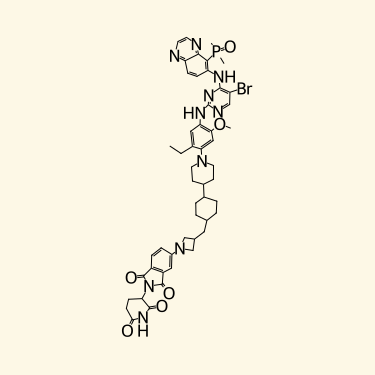 CCc1cc(Nc2ncc(Br)c(Nc3ccc4nccnc4c3P(C)(C)=O)n2)c(OC)cc1N1CCC(C2CCC(CC3CN(c4ccc5c(c4)C(=O)N(C4CCC(=O)NC4=O)C5=O)C3)CC2)CC1